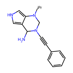 CC(C)N1CN(C#Cc2ccccc2)C(N)c2c[nH]cc21